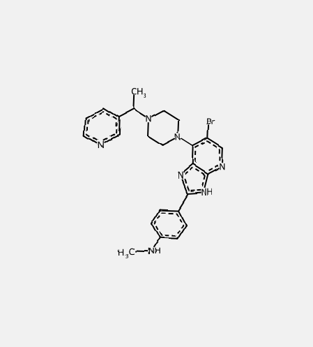 CNc1ccc(-c2nc3c(N4CCN(C(C)c5cccnc5)CC4)c(Br)cnc3[nH]2)cc1